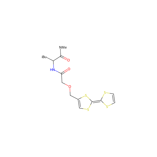 CCC(C)C(NC(=O)COCC1=CSC(=C2SC=CS2)S1)C(=O)NC